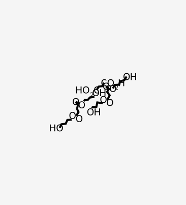 O=C(CCC(=O)OCCCCO)OCCCCO.O=C(CCC(=O)OCCCCO)OCCCCO.O=C(O)CCC(=O)O